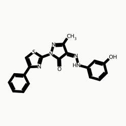 CC1=NN(c2nc(-c3ccccc3)cs2)C(=O)/C1=N\Nc1cccc(O)c1